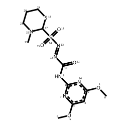 COc1cc(OC)nc(NC(=O)N=NS(=O)(=O)C2SCCCN2C)n1